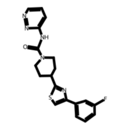 O=C(Nc1cccnn1)N1CCC(c2nc(-c3cccc(F)c3)cs2)CC1